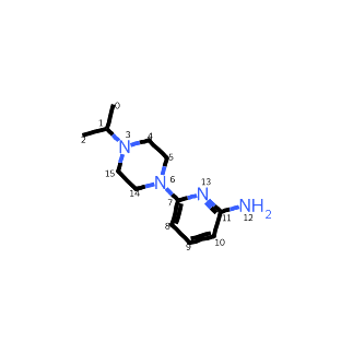 CC(C)N1CCN(c2cccc(N)n2)CC1